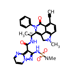 C#Cc1ccc2c3c(c([C@H](C)NC(=O)c4c(NS(=O)(=O)NC)nn5cccnc45)n(-c4ccccc4)c(=O)c13)CN2C